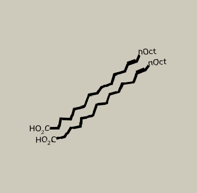 CCCCCCCCC=CCCCCCCCCCCCC(=O)O.CCCCCCCCC=CCCCCCCCCCCCC(=O)O